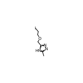 Cc1nnc(COCCI)[nH]1